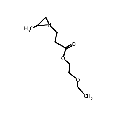 CCOCCOC(=O)CCN1CC1C